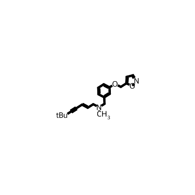 CN(CC=CC#CC(C)(C)C)Cc1cccc(OCc2ccno2)c1